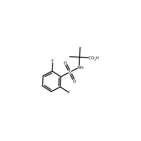 CC(C)(NS(=O)(=O)c1c(F)cccc1F)C(=O)O